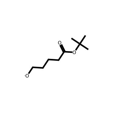 CC(C)(C)OC(=O)CCCC[O]